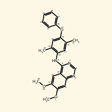 COc1cc2ncnc(Nc3cc(C)c(Oc4ccccc4)cc3C)c2cc1OC